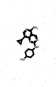 Nc1ncc(C2CC2)c2nc(NC3CCC(O)CC3)ncc12